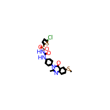 CSc1ccc2nc(C)n(-c3ccc(NC(=O)NS(=O)(=O)c4ccc(Cl)s4)cc3)c(=O)c2c1